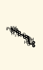 CC(C)C(N)C(=O)NCC(=O)Nc1ccc2c(c1)C1(C)CCCC(CNC(=O)C3CCCC4(C)c5cc(NC(=O)CNC(=O)OCC6c7ccccc7-c7ccccc76)ccc5CCC34)C1CC2